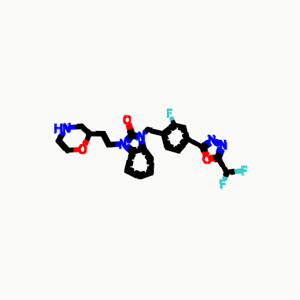 O=c1n(CCC2CNCCO2)c2ccccc2n1Cc1ccc(-c2nnc(C(F)F)o2)cc1F